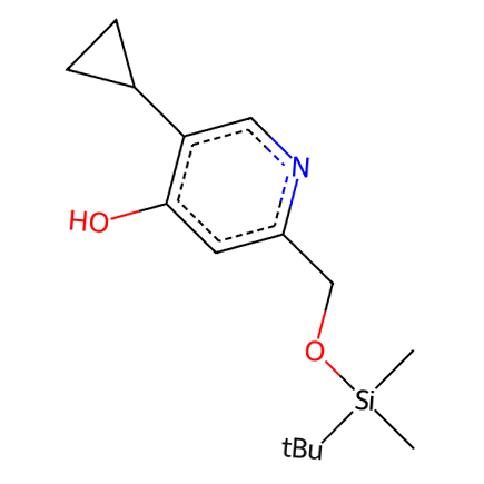 CC(C)(C)[Si](C)(C)OCc1cc(O)c(C2CC2)cn1